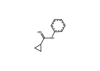 N=C(Nc1ccccc1)C1CC1